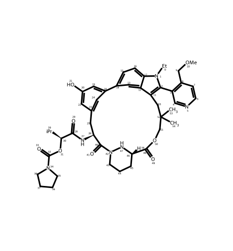 CCn1c(-c2cnccc2COC)c2c3cc(ccc31)-c1cc(O)cc(c1)C[C@H](NC(=O)[C@@H](OC(=O)N1CCCC1)C(C)C)C(=O)N1CCC[C@H](N1)C(=O)OCC(C)(C)C2